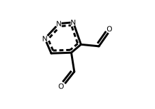 O=Cc1cnnnc1C=O